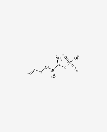 C=CCOC(=O)[C@@H](N)CS(=O)(=O)O